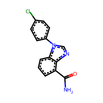 NC(=O)c1cccc2c1ncn2-c1ccc(Cl)cc1